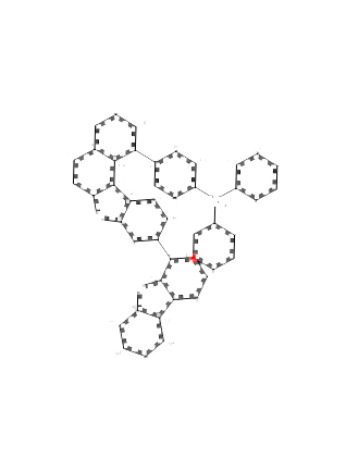 c1ccc(N(c2ccccc2)c2ccc(-c3cccc4ccc5oc6cc(-c7cccc8c7oc7ccccc78)ccc6c5c34)cc2)cc1